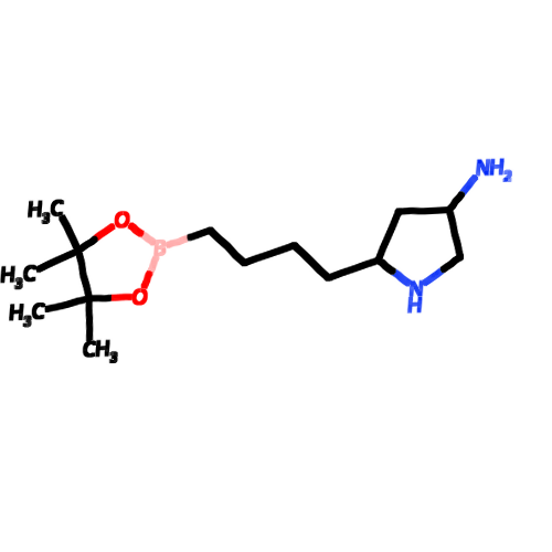 CC1(C)OB(CCCCC2CC(N)CN2)OC1(C)C